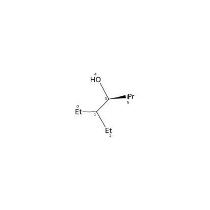 CCC(CC)[C@@H](O)C(C)C